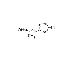 CSC(C)CCC1C#CC(Cl)C=CS1